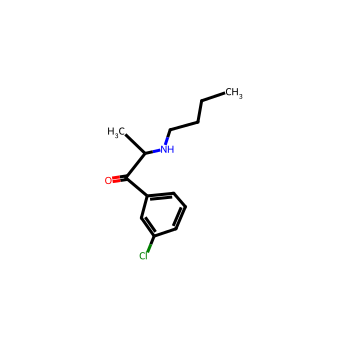 CCCCNC(C)C(=O)c1cccc(Cl)c1